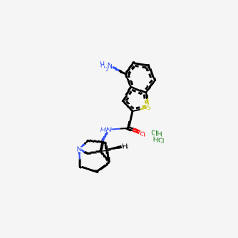 Cl.Cl.Nc1cccc2sc(C(=O)N[C@H]3CN4CCC3CC4)cc12